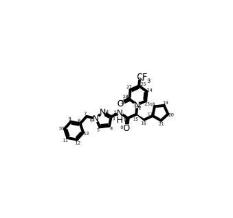 O=C(Nc1ccn(Cc2ccccc2)n1)[C@H](CC1CCCC1)n1ccc(C(F)(F)F)cc1=O